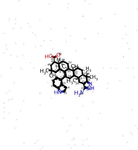 CC1(C)CC2C3=C(c4cccc5[nH]ccc45)CC4[C@@]5(C)Cc6c(n[nH]c6N)C(C)(C)C5CC[C@@]4(C)[C@]3(C)CC[C@@H]2[C@H](C(=O)O)C1